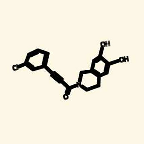 O=C(C#Cc1cccc(Cl)c1)N1CCc2cc(O)c(O)cc2C1